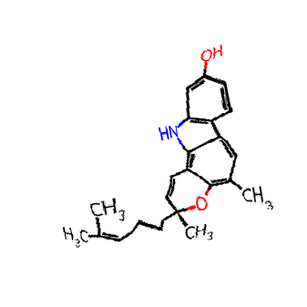 CC(C)=CCC[C@]1(C)C=Cc2c(c(C)cc3c2[nH]c2cc(O)ccc23)O1